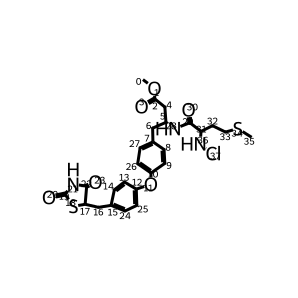 COC(=O)CC(Cc1ccc(Oc2ccc(CC3SC(=O)NC3=O)cc2)cc1)NC(=O)C(CCSC)NCl